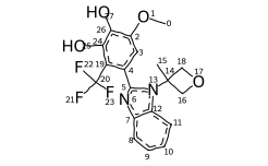 COc1cc(-c2nc3ccccc3n2C2(C)COC2)c(C(F)(F)F)c(O)c1O